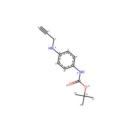 C#CCNc1ccc(NC(=O)OC(C)(C)C)cc1